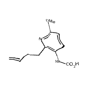 C=CCCc1nc(OC)ccc1NC(=O)O